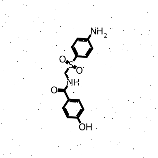 Nc1ccc(S(=O)(=O)CNC(=O)c2ccc(O)cc2)cc1